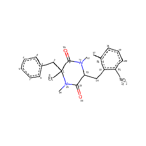 CCC1(Cc2ccccc2)C(=O)N(C)C(Cc2c(C)cccc2[N+](=O)[O-])C(=O)N1C